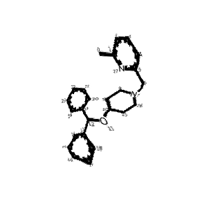 Cc1cccc(CN2CCC(OC(c3ccccc3)c3ccccc3)CC2)n1